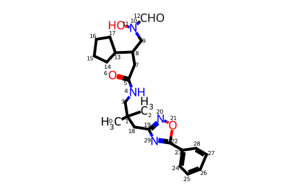 CC(C)(CNC(=O)CC(CN(O)C=O)C1CCCC1)Cc1noc(-c2ccccc2)n1